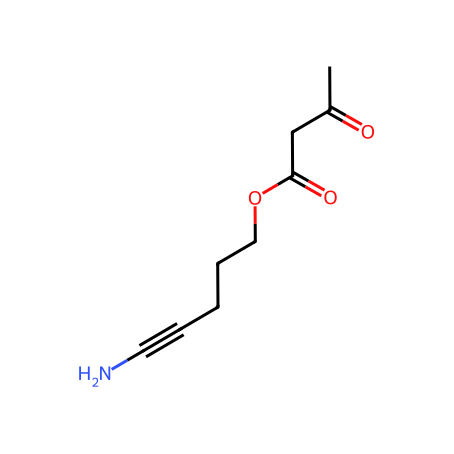 CC(=O)CC(=O)OCCCC#CN